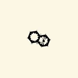 c1ccc2c3ccc(nn3)c2c1